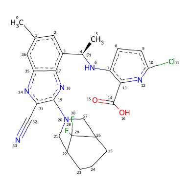 Cc1cc([C@@H](C)Nc2ccc(Cl)nc2C(=O)O)c2nc(N3CC4CCCC(C3)C4(F)F)c(C#N)nc2c1